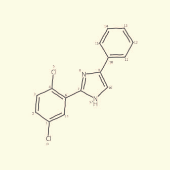 Clc1ccc(Cl)c(-c2nc(-c3ccccc3)c[nH]2)c1